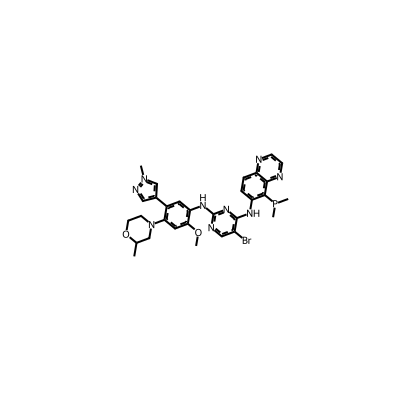 COc1cc(N2CCOC(C)C2)c(-c2cnn(C)c2)cc1Nc1ncc(Br)c(Nc2ccc3nccnc3c2P(C)C)n1